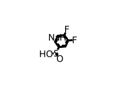 O=S(O)c1ccc(F)c(F)c1.[NaH]